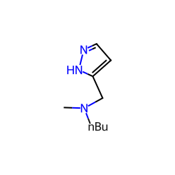 CCCCN(C)Cc1ccn[nH]1